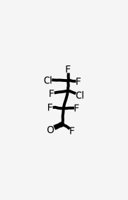 O=C(F)C(F)(F)C(F)(Cl)C(F)(F)Cl